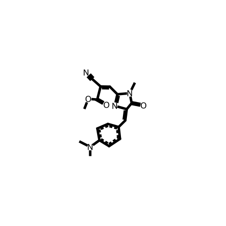 COC(=O)/C(C#N)=C\C1=NC(=C\c2ccc(N(C)C)cc2)/C(=O)N1C